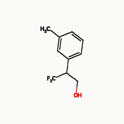 Cc1cccc(C(CO)C(F)(F)F)c1